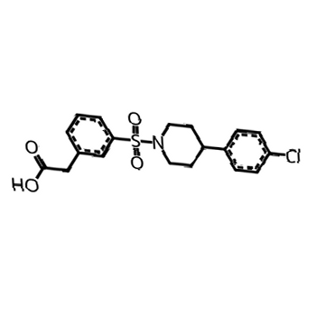 O=C(O)Cc1cccc(S(=O)(=O)N2CCC(c3ccc(Cl)cc3)CC2)c1